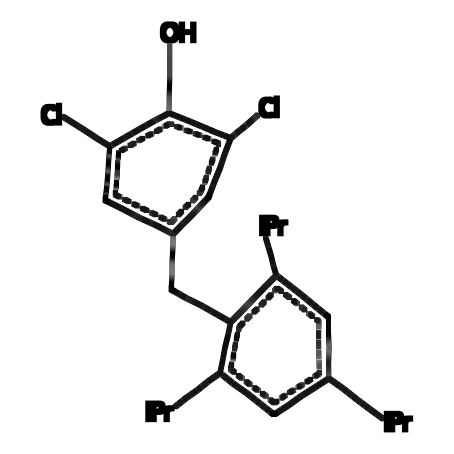 CC(C)c1cc(C(C)C)c(Cc2cc(Cl)c(O)c(Cl)c2)c(C(C)C)c1